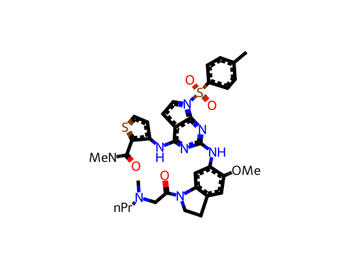 CCCN(C)CC(=O)N1CCc2cc(OC)c(Nc3nc(Nc4ccsc4C(=O)NC)c4ccn(S(=O)(=O)c5ccc(C)cc5)c4n3)cc21